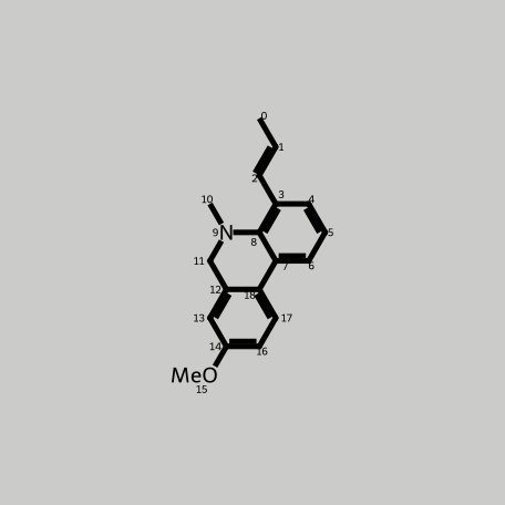 C/C=C/c1cccc2c1N(C)Cc1cc(OC)ccc1-2